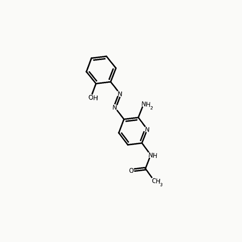 CC(=O)Nc1ccc(N=Nc2ccccc2O)c(N)n1